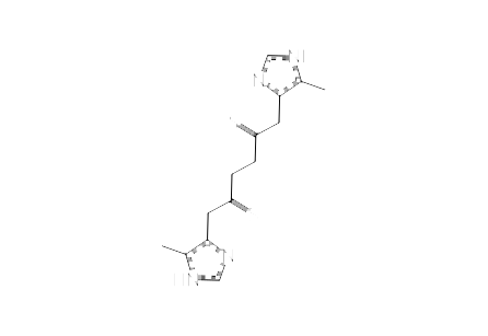 Cc1[nH]cnc1CC(=S)CCC(=S)Cc1nc[nH]c1C